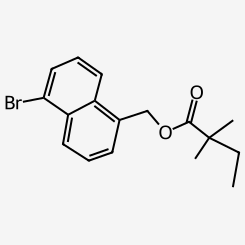 CCC(C)(C)C(=O)OCc1cccc2c(Br)cccc12